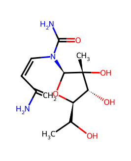 C=C(N)/C=C\N(C(N)=O)[C@@H]1O[C@H](C(C)O)[C@@H](O)[C@@]1(C)O